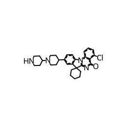 O=c1nc2n(c3cccc(Cl)c13)-c1ccc(C3CCN(C4CCNCC4)CC3)cc1C21CCCCC1